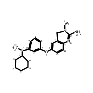 CCCN1Cc2cc(Oc3cccc(N(C)C4CCCCC4)c3)ccc2N=C1N